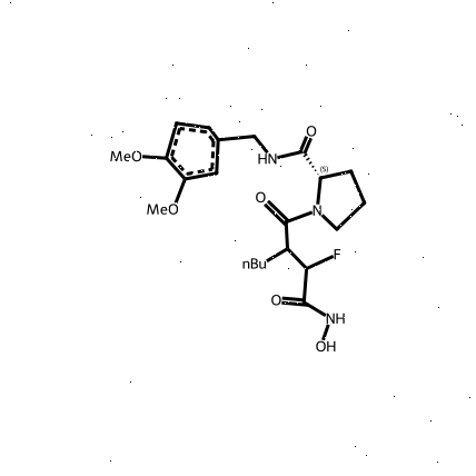 CCCCC(C(=O)N1CCC[C@H]1C(=O)NCc1ccc(OC)c(OC)c1)C(F)C(=O)NO